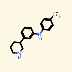 FC(F)(F)c1ccc(Nc2cccc(C3CCCNC3)c2)cc1